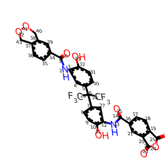 O=C(Nc1cc(C(c2ccc(O)c(NC(=O)c3ccc4c(c3)C(=O)OC4=O)c2)(C(F)(F)F)C(F)(F)F)ccc1O)c1ccc2c(c1)COOC2